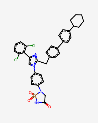 O=C1CN(c2ccc(-n3cc(-c4c(Cl)cccc4Cl)nc3Cc3ccc(-c4ccc(C5CCCCC5)cc4)cc3)cc2)S(=O)(=O)N1